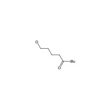 CCC(C)C(=O)CCCC[O]